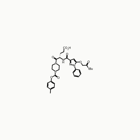 Cc1ccc(OC(=O)N2CCN(C(=O)[C@H](CCC(=O)O)NC(=O)c3cc(OCC(=O)C(C)(C)C)n(-c4ccccc4)n3)CC2)cc1